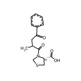 CC(CC(=O)c1ccccc1)C(=O)N1CSC[C@H]1C(=O)O